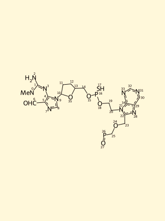 CN/C(N)=N\c1c(C=O)ncn1C1CCC(COP(S)OCCn2c(COCP=O)nc3cncnc32)O1